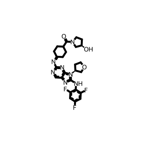 O=C(C1CCC(=Nc2ncc3nc(Nc4c(F)cc(F)cc4F)n([C@H]4CCOC4)c3n2)CC1)N1CC[C@@H](O)C1